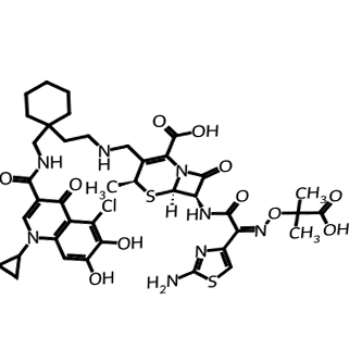 C[C@@H]1S[C@@H]2[C@H](NC(=O)/C(=N\OC(C)(C)C(=O)O)c3csc(N)n3)C(=O)N2C(C(=O)O)=C1CNCCC1(CNC(=O)c2cn(C3CC3)c3cc(O)c(O)c(Cl)c3c2=O)CCCCC1